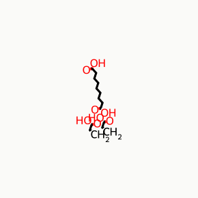 C=CC(=O)O.C=CC(=O)O.O=C(O)CCCCCCCC(=O)O